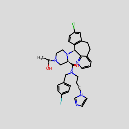 CB(O)N1CCN([C@H]2c3ccc(Cl)cc3CCc3cccnc32)[C@@H](C(=O)N(CCCn2ccnc2)Cc2ccc(F)cc2)C1